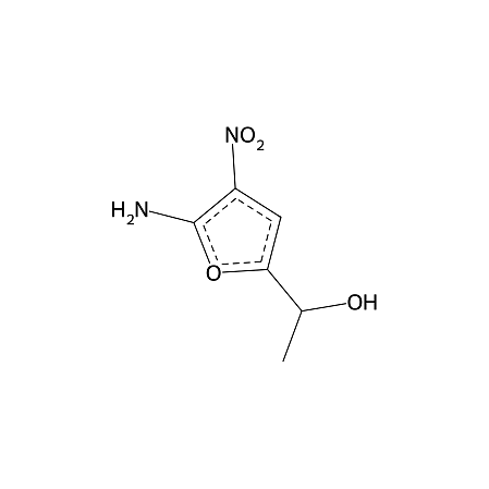 CC(O)c1cc([N+](=O)[O-])c(N)o1